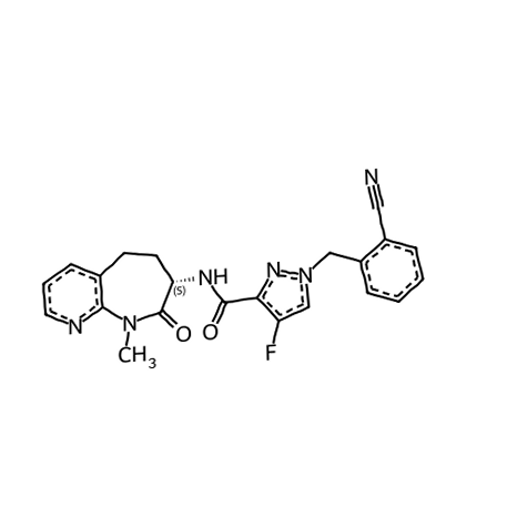 CN1C(=O)[C@@H](NC(=O)c2nn(Cc3ccccc3C#N)cc2F)CCc2cccnc21